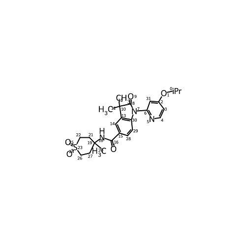 CC(C)Oc1ccnc(N2C(=O)C(C)(C)c3cc(C(=O)NC4(C)CCS(=O)(=O)CC4)ccc32)c1